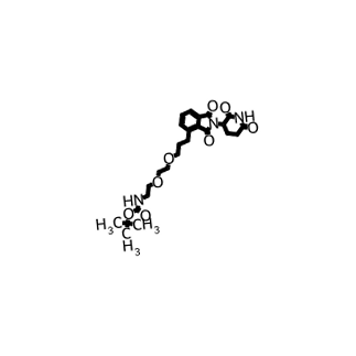 CC(C)(C)OC(=O)NCCOCCOCCCc1cccc2c1C(=O)N(C1CCC(=O)NC1=O)C2=O